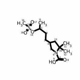 CC(CCC1CN(C(=O)O)C(C)(C)C1)OS(C)(=O)=O